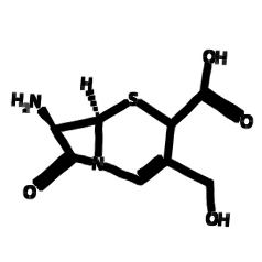 N[C@@H]1C(=O)N2C=C(CO)C(C(=O)O)S[C@H]12